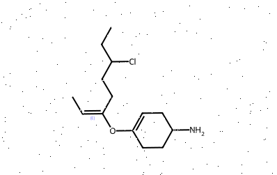 C/C=C(\CCC(Cl)CC)OC1=CCC(N)CC1